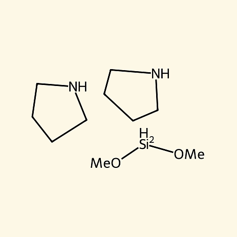 C1CCNC1.C1CCNC1.CO[SiH2]OC